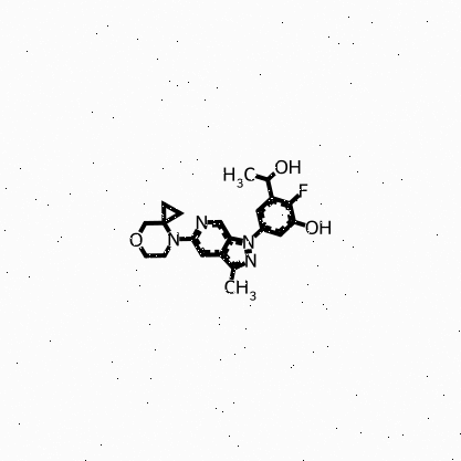 Cc1nn(-c2cc(O)c(F)c(C(C)O)c2)c2cnc(N3CCOCC34CC4)cc12